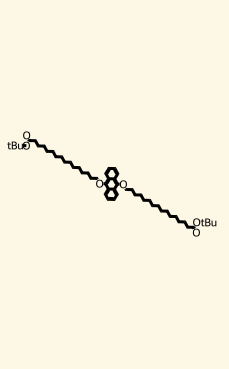 CC(C)(C)OC(=O)CCCCCCCCCCCCCCCOc1c2ccccc2c(OCCCCCCCCCCCCCCCC(=O)OC(C)(C)C)c2ccccc12